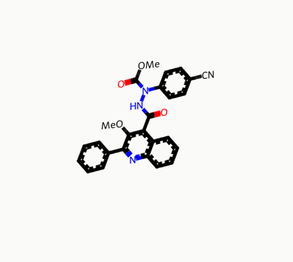 COC(=O)N(NC(=O)c1c(OC)c(-c2ccccc2)nc2ccccc12)c1ccc(C#N)cc1